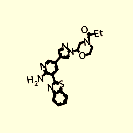 CCC(=O)N1CCOC(n2cc(-c3cnc(N)c(-c4nc5ccccc5s4)c3)cn2)C1